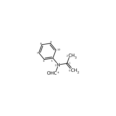 C=C(C)N(C=O)c1ccccc1